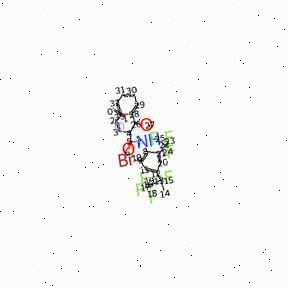 C=C/C=C\C(C(=O)Nc1c(Br)cc(C(C)(F)C(F)(F)F)cc1C(F)(F)F)C(=O)c1ccccc1